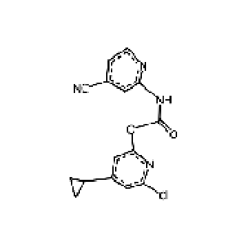 N#Cc1ccnc(NC(=O)Oc2cc(C3CC3)cc(Cl)n2)c1